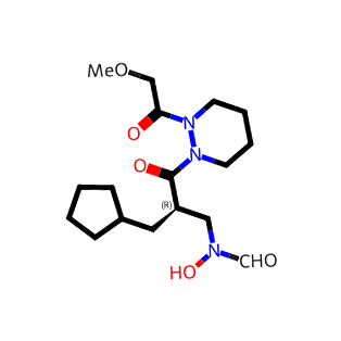 COCC(=O)N1CCCCN1C(=O)[C@H](CC1CCCC1)CN(O)C=O